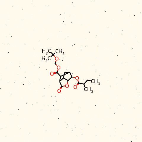 CCC(C)C(=O)OC1C2CC3C1OC(=O)C3C2C(=O)OCOC(C)(C)C